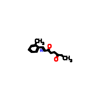 CCC(=O)CCC(=O)/C=C/c1ccccc1C